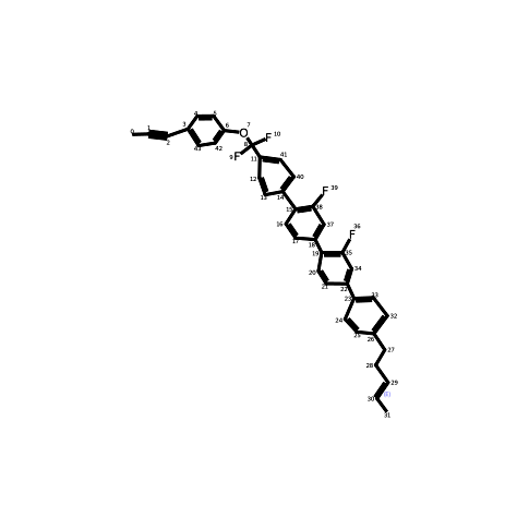 CC#Cc1ccc(OC(F)(F)c2ccc(-c3ccc(-c4ccc(-c5ccc(CC/C=C/C)cc5)cc4F)cc3F)cc2)cc1